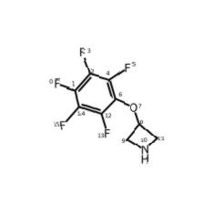 Fc1c(F)c(F)c(OC2CNC2)c(F)c1F